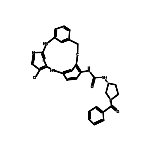 O=C(Nc1ccc2cc1CCc1cccc(c1)Nc1ncc(Cl)c(n1)N2)N[C@@H]1CCN(C(=O)c2ccccc2)C1